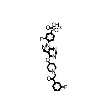 CS(=O)(=O)c1ccc(-n2ncc3c(OC4CCN(CC(=O)c5cccc(F)c5)CC4)ncnc32)c(F)c1